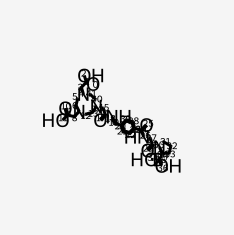 O=C(O)CN1CCN(CC(=O)O)CCN(CC(=O)NCc2ccc(C(=O)NCC(=O)N3CCC[C@H]3B(O)O)cc2)CC1